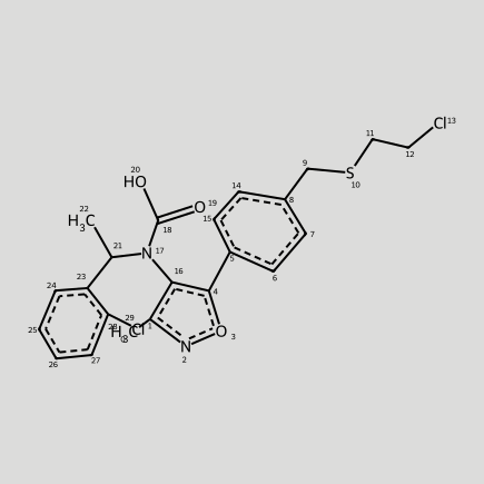 Cc1noc(-c2ccc(CSCCCl)cc2)c1N(C(=O)O)C(C)c1ccccc1Cl